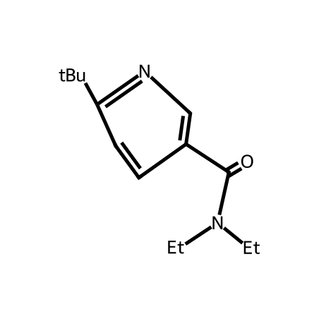 CCN(CC)C(=O)c1ccc(C(C)(C)C)nc1